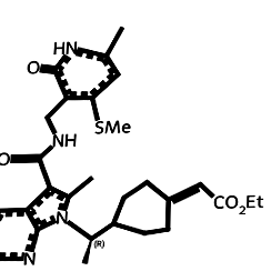 CCOC(=O)C=C1CCC([C@@H](C)n2c(C)c(C(=O)NCc3c(SC)cc(C)[nH]c3=O)c3cccnc32)CC1